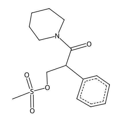 CS(=O)(=O)OCC(C(=O)N1CCCCC1)c1ccccc1